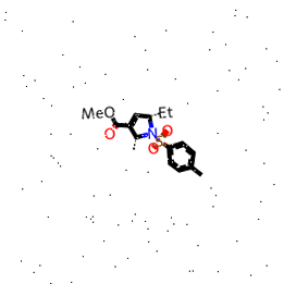 CC[C@H]1C=C(C(=O)OC)[C@@H](C)N1S(=O)(=O)c1ccc(C)cc1